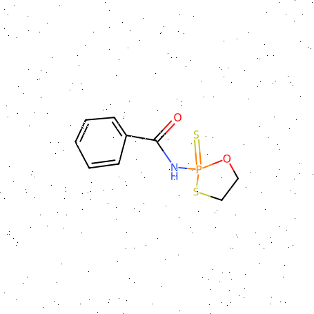 O=C(NP1(=S)OCCS1)c1ccccc1